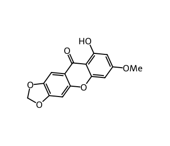 COc1cc(O)c2c(=O)c3cc4c(cc3oc2c1)OCO4